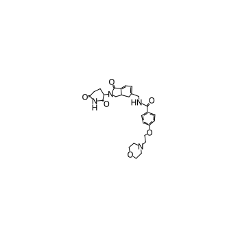 O=C1CCC(N2CC3CC(CNC(=O)c4ccc(OCCN5CCOCC5)cc4)=CC=C3C2=O)C(=O)N1